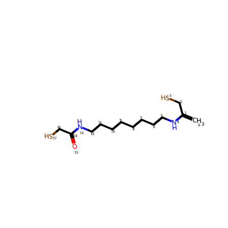 C=C(CS)NCCCCCCCCNC(=O)CS